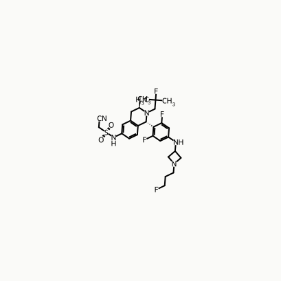 C[C@@H]1Cc2cc(NS(=O)(=O)CC#N)ccc2[C@@H](c2c(F)cc(NC3CN(CCCF)C3)cc2F)N1CC(C)(C)F